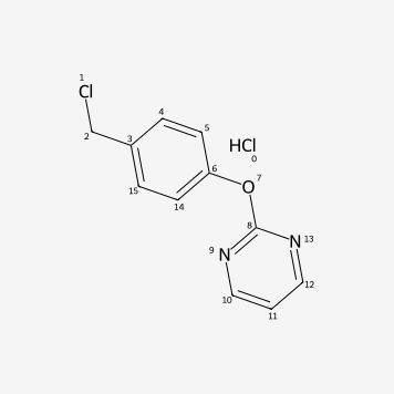 Cl.ClCc1ccc(Oc2ncccn2)cc1